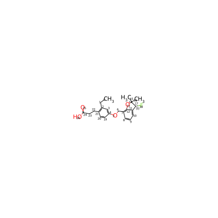 CCc1cc(OCc2cccc3c2OC(C)(C)[C@H]3F)ccc1CCC(=O)O